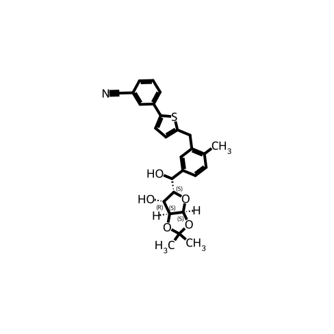 Cc1ccc(C(O)[C@@H]2O[C@H]3OC(C)(C)O[C@H]3[C@@H]2O)cc1Cc1ccc(-c2cccc(C#N)c2)s1